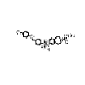 CC(C)(C)OC(=O)N1CCc2ccc(NS(=O)(=O)c3ccc(COc4ccc(Cl)cc4)cc3)cc2CC1